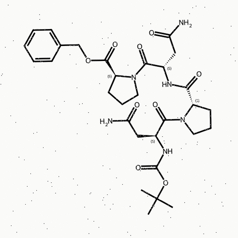 CC(C)(C)OC(=O)N[C@@H](CC(N)=O)C(=O)N1CCC[C@H]1C(=O)N[C@@H](CC(N)=O)C(=O)N1CCC[C@H]1C(=O)OCc1ccccc1